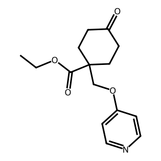 CCOC(=O)C1(COc2ccncc2)CCC(=O)CC1